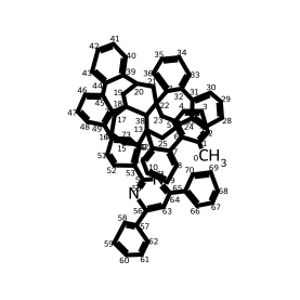 Cc1ccccc1-c1ccccc1C12CCCCC34CC(CC5(CC(C1)c1ccccc1-c1ccccc15)C23)c1ccccc1-c1cccc(-c2ccc(-c3nc(-c5ccccc5)cc(-c5ccccc5)n3)cc2)c14